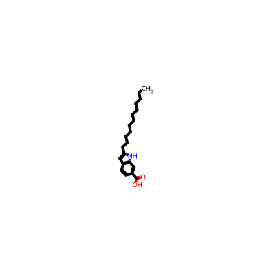 CCCCCCCCCCCCc1cc2ccc(C(=O)O)cc2[nH]1